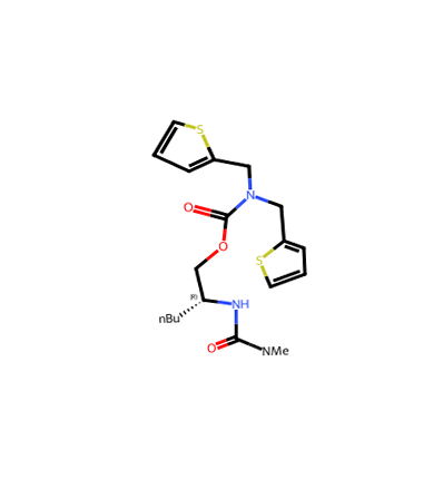 CCCC[C@H](COC(=O)N(Cc1cccs1)Cc1cccs1)NC(=O)NC